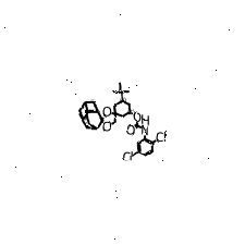 CC(C)(C)[C@H]1C[C@H](OC(=O)Nc2cc(Cl)ccc2Cl)CC2(COC3(O2)C2CC4CC(C2)CC3C4)C1